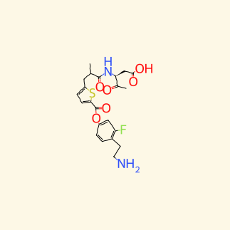 CC(=O)[C@H](CC(=O)O)NC(=O)C(C)Cc1ccc(C(=O)Oc2ccc(CCN)c(F)c2)s1